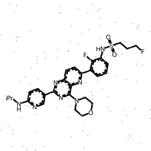 CC(C)Nc1ccc(-c2nc(N3CCOCC3)c3nc(-c4cccc(NS(=O)(=O)CCCF)c4F)ccc3n2)cn1